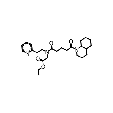 CCOC(=O)CN(CCc1ccccn1)C(=O)CCCC(=O)N1CCCC2CCCCC21